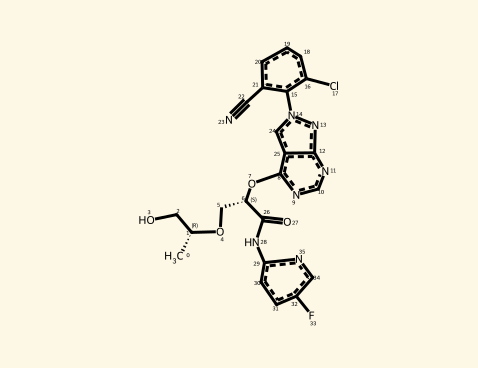 C[C@H](CO)OC[C@H](Oc1ncnc2nn(-c3c(Cl)cccc3C#N)cc12)C(=O)Nc1ccc(F)cn1